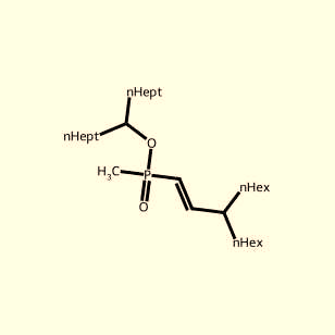 CCCCCCCC(CCCCCCC)OP(C)(=O)/C=C/C(CCCCCC)CCCCCC